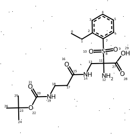 CCc1ccccc1S(=O)(=O)C(N)(CNC(=O)CCNC(=O)OC(C)(C)C)C(=O)O